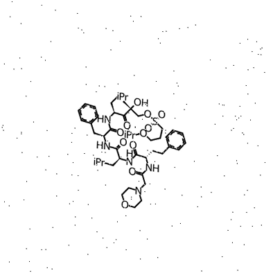 CC(C)C[C@H](NC(=O)[C@H](CCc1ccccc1)NC(=O)CN1CCOCC1)C(=O)N[C@@H](Cc1ccccc1)C(=O)N[C@@H](CC(C)C)C(=O)[C@](C)(O)COS(=O)(=O)CCCOC(C)C